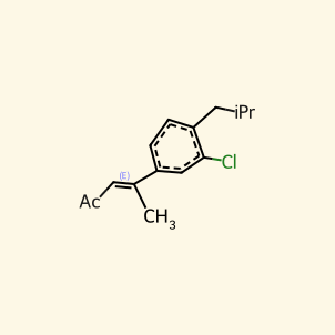 CC(=O)/C=C(\C)c1ccc(CC(C)C)c(Cl)c1